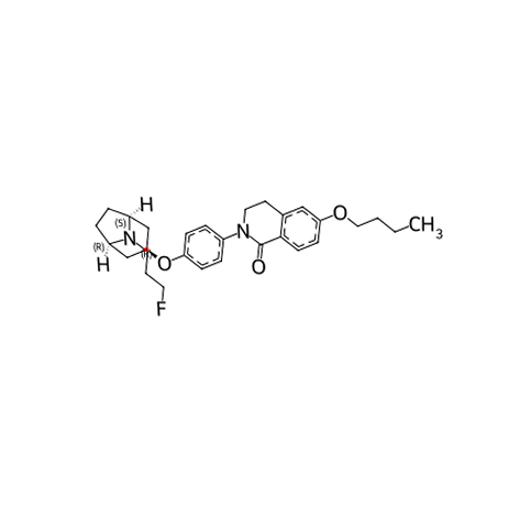 CCCCOc1ccc2c(c1)CCN(c1ccc(O[C@H]3C[C@H]4CC[C@@H](C3)N4CCCF)cc1)C2=O